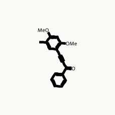 COc1cc(OC)c(C#CC(=O)c2ccccc2)cc1C